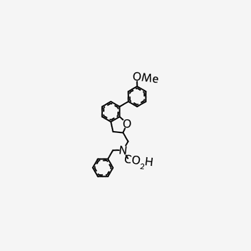 COc1cccc(-c2cccc3c2OC(CN(Cc2ccccc2)C(=O)O)C3)c1